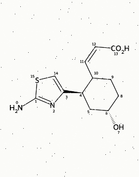 Nc1nc([C@@H]2C[C@@H](O)CCC2/C=C\C(=O)O)cs1